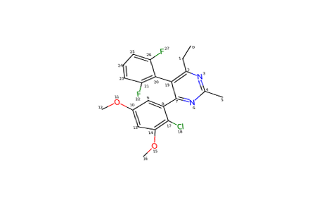 CCc1nc(C)nc(-c2cc(OC)cc(OC)c2Cl)c1-c1c(F)cccc1F